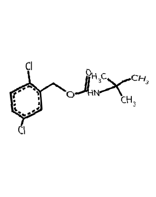 CC(C)(C)NC(=O)OCc1cc(Cl)ccc1Cl